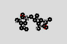 c1ccc(-c2cc(-c3ccccc3)nc(-c3ccc(-n4c5ccccc5c5c(-c6cccc(-c7nc(-c8ccccc8)nc(-c8ccc(-n9c%10ccccc%10c%10cccc(-c%11ccc%12c(c%11)c%11ncccc%11n%12-c%11ccccc%11)c%109)cc8)n7)c6)ccc(-c6ccc7c(c6)c6ncccc6n7-c6ccccc6)c54)cc3)n2)cc1